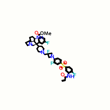 C=CC(=O)Nc1cc(S(=O)(=O)c2ccc(N3CC(F)(CN4CCC([C@@](CN5CCC5)(c5cccc(F)c5)[C@H]5CCC[C@@H]5NC(=O)OC)CC4)C3)c(F)c2)ccc1F